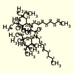 CCCCCCCCN(C(=O)C(=O)N(CCCCCCCC)C1CC(C)(CC)NC(C)(CC)C1C)C1CC(C)(CC)NC(C)(CC)C1C